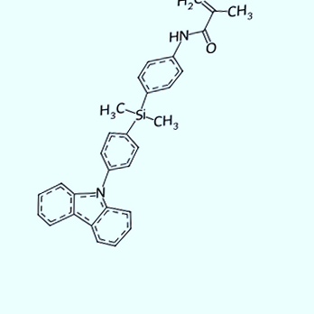 C=C(C)C(=O)Nc1ccc([Si](C)(C)c2ccc(-n3c4ccccc4c4ccccc43)cc2)cc1